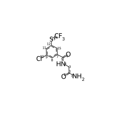 NC(=O)CNC(=O)c1cc(Cl)cc(SC(F)(F)F)c1